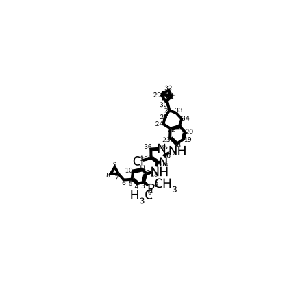 CP(C)c1cc(CC2CC2)ccc1Nc1nc(Nc2ccc3c(c2)CCC(N2CC4CC2C4)CC3)ncc1Cl